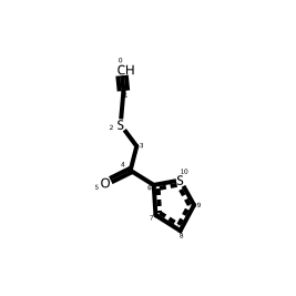 C#CSCC(=O)c1cccs1